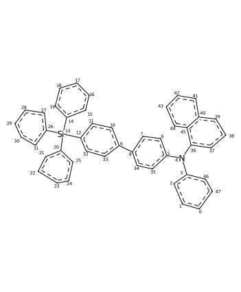 c1ccc(N(c2ccc(-c3ccc([Si](c4ccccc4)(c4ccccc4)c4ccccc4)cc3)cc2)c2cccc3ccccc23)cc1